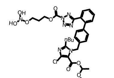 CCCCc1nc(Cl)c(C(=O)OC(C)OC(=O)OCC)n1Cc1ccc(-c2ccccc2-c2nnn(C(=O)OCCCON(O)O)n2)cc1